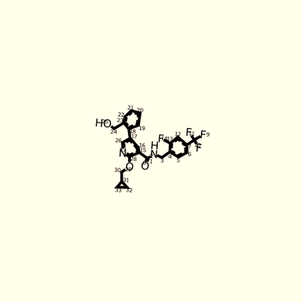 O=C(NCc1ccc(C(F)(F)F)cc1F)c1cc(-c2ccccc2CO)cnc1OCC1CC1